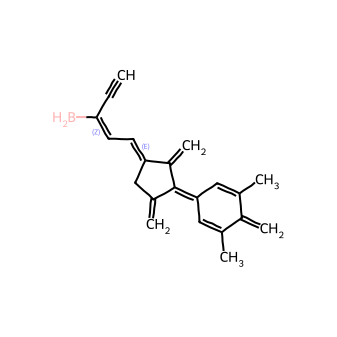 B/C(C#C)=C/C=C1\CC(=C)C(=c2cc(C)c(=C)c(C)c2)C1=C